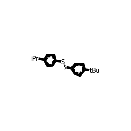 CC(C)c1ccc(SSc2ccc(C(C)(C)C)cc2)cc1